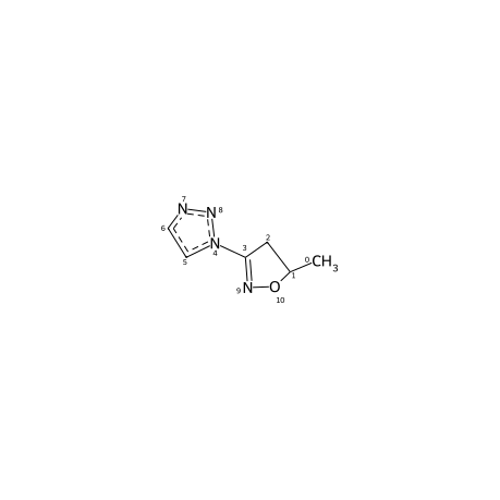 CC1CC(n2ccnn2)=NO1